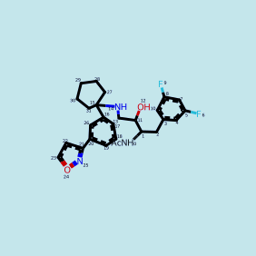 CC(=O)NC(Cc1cc(F)cc(F)c1)C(O)CNC1(c2cccc(-c3ccon3)c2)CCCCC1